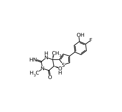 CN1C(=N)N[C@](C)(c2cc(-c3ccc(F)c(O)c3)cs2)[C@@H](O)C1=O